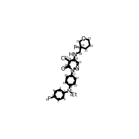 CCN(c1ccc(F)cc1)c1ccc(-n2ncc(NC[C@]3(F)CCCOC3)c(Cl)c2=O)cc1